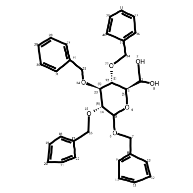 OC(O)[C@H]1OC(OCc2ccccc2)[C@H](OCc2ccccc2)[C@@H](OCc2ccccc2)[C@@H]1OCc1ccccc1